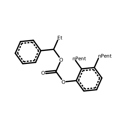 CCCCCc1cccc(OC(=O)OC(CC)c2ccccc2)c1CCCCC